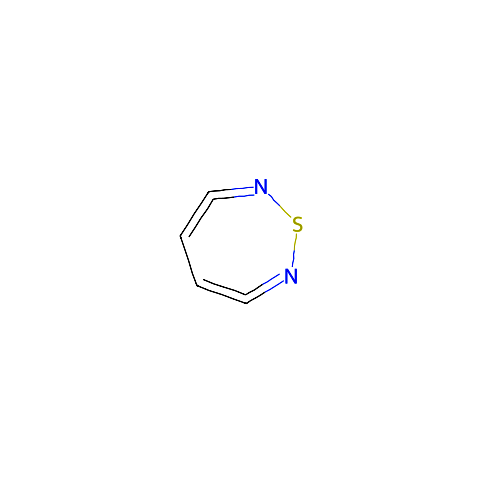 C1=CC=C=NSN=1